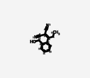 CCC(=C(C#N)C#N)c1ccccc1CO